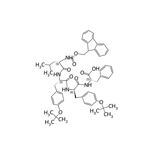 CC(C)C[C@H](NC(=O)OCC1c2ccccc2-c2ccccc21)C(=O)N[C@@H](Cc1ccc(OC(C)(C)C)cc1)C(=O)N[C@H](Cc1ccc(OC(C)(C)C)cc1)C(=O)N[C@@H](Cc1ccccc1)C(=O)O